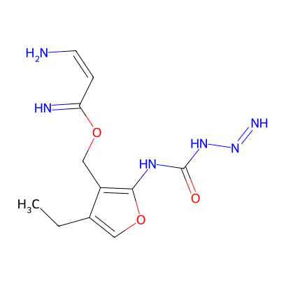 CCc1coc(NC(=O)NN=N)c1COC(=N)/C=C\N